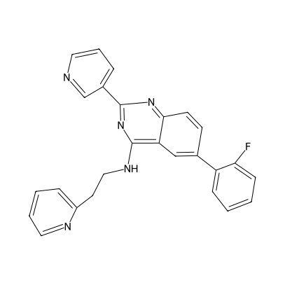 Fc1ccccc1-c1ccc2nc(-c3cccnc3)nc(NCCc3ccccn3)c2c1